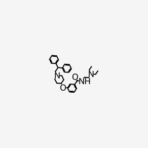 CCN(CC)CCNC(=O)c1cccc(OC2CCN(CC(c3ccccc3)c3ccccc3)CC2)c1